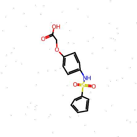 O=C(O)COc1ccc(NS(=O)(=O)c2ccccc2)cc1